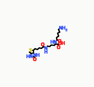 NCCCCCC(=O)NC(CCCCNC(=O)CCCCC1SCC2NC(=O)NC21)C(=O)O